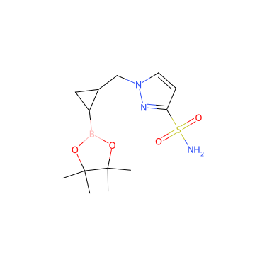 CC1(C)OB(C2CC2Cn2ccc(S(N)(=O)=O)n2)OC1(C)C